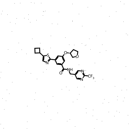 O=C(NCc1cnc(C(F)(F)F)nc1)c1cc(O[C@H]2CCOC2)cc(-c2ncc(C3CCC3)s2)c1